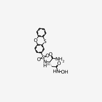 NC(=O)[C@H](CC(=O)NO)NS(=O)(=O)c1ccc2c(c1)Sc1ccccc1O2